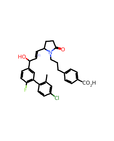 Cc1cc(Cl)ccc1-c1cc(C(O)/C=C/C2CCC(=O)N2CCCc2ccc(C(=O)O)cc2)ccc1F